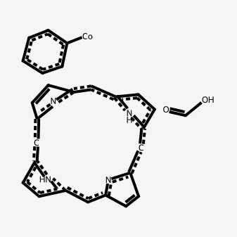 C1=Cc2cc3ccc(cc4nc(cc5ccc(cc1n2)[nH]5)C=C4)[nH]3.O=CO.[Co][c]1ccccc1